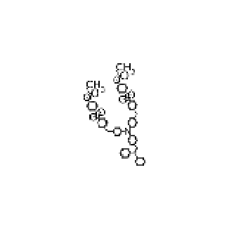 C=CC(=O)Oc1ccc(S(=O)(=O)c2ccc(Cc3ccc(N(c4ccc(C=C(c5ccccc5)c5ccccc5)cc4)c4ccc(Cc5ccc(S(=O)(=O)c6ccc(OC(=O)CC)cc6)cc5)cc4)cc3)cc2)cc1